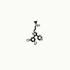 COc1cc(Cl)cc(-c2nn(CCCNC3CC3)cc2-c2ccncn2)c1